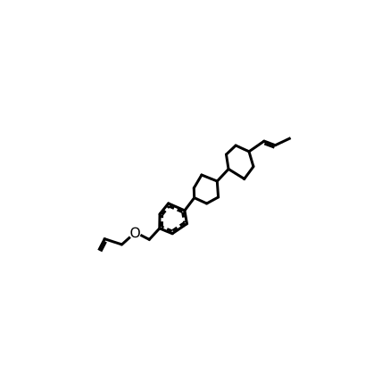 C=CCOCc1ccc(C2CCC(C3CCC(C=CC)CC3)CC2)cc1